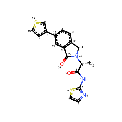 CC[C@H](C(=O)Nc1nccs1)N1Cc2ccc(-c3ccsc3)cc2C1=O